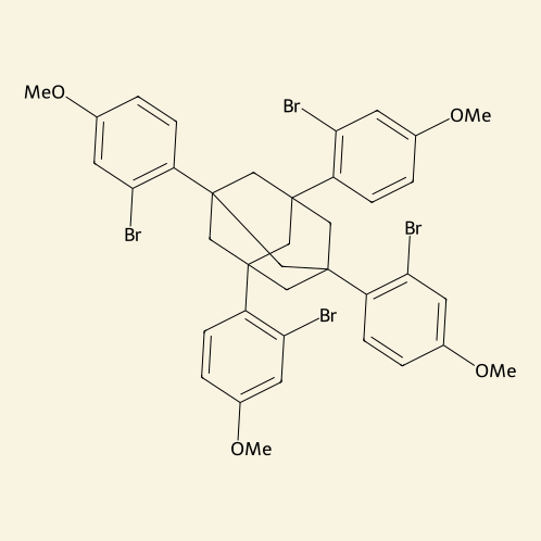 COc1ccc(C23CC4(c5ccc(OC)cc5Br)CC(c5ccc(OC)cc5Br)(C2)CC(c2ccc(OC)cc2Br)(C3)C4)c(Br)c1